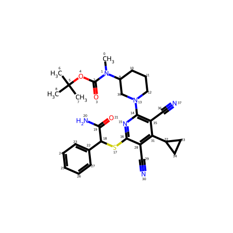 CN(C(=O)OC(C)(C)C)C1CCCN(c2nc(SC(C(N)=O)c3ccccc3)c(C#N)c(C3CC3)c2C#N)C1